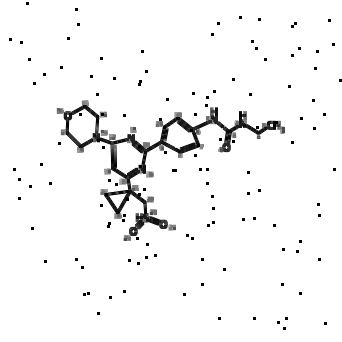 CCNC(=O)Nc1ccc(-c2nc(N3CCOCC3)cc(C3(C[SH](=O)=O)CC3)n2)cc1